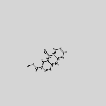 CCOc1ccc2nc3ccccc3c(=O)n2n1